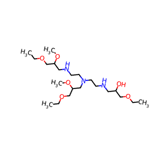 CCOCC(O)CNCCN(CCNCC(COCC)OC)CC(COCC)OC